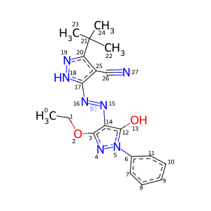 CCOc1nn(-c2ccccc2)c(O)c1/N=N/c1[nH]nc(C(C)(C)C)c1C#N